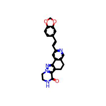 O=C1NCCn2nc3c(c21)CCc1cnc(C=Cc2ccc4c(c2)OCO4)cc1-3